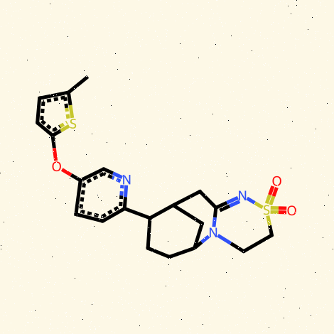 Cc1ccc(Oc2ccc(C3CCC4CC3CC3=NS(=O)(=O)CCN34)nc2)s1